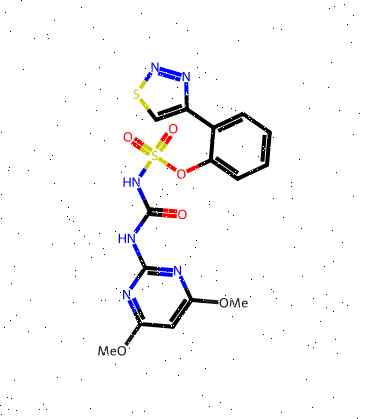 COc1cc(OC)nc(NC(=O)NS(=O)(=O)Oc2ccccc2-c2csnn2)n1